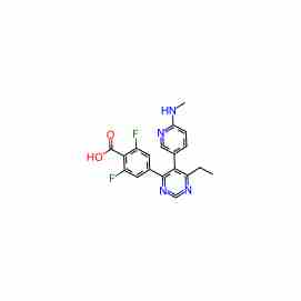 CCc1ncnc(-c2cc(F)c(C(=O)O)c(F)c2)c1-c1ccc(NC)nc1